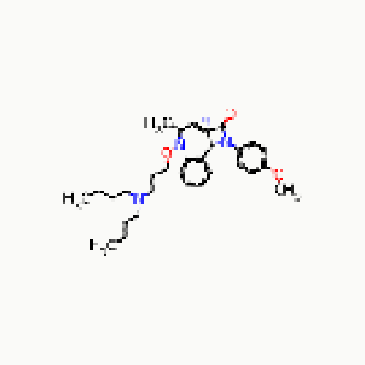 CCCCN(CCCC)CCCON=C(C)/C=C1/C(=O)N(c2ccc(OC)cc2)C1c1ccccc1